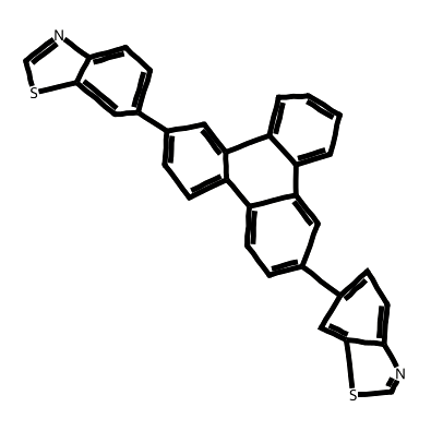 c1ccc2c(c1)c1cc(-c3ccc4ncsc4c3)ccc1c1ccc(-c3ccc4ncsc4c3)cc21